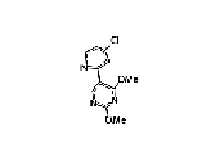 COc1ncc(-c2cc(Cl)ccn2)c(OC)n1